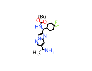 C[C@@H](N)c1cnn2cc([C@@H](NC(=O)OC(C)(C)C)C3CCC(F)(F)CC3)nc2c1